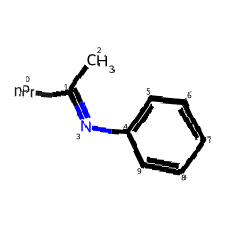 C[CH]CC(C)=Nc1ccccc1